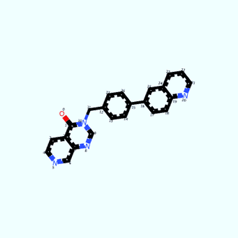 O=c1c2ccncc2ncn1Cc1ccc(-c2ccc3ncccc3c2)cc1